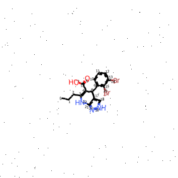 CCCC1=C(C(=O)O)C(c2cccc(Br)c2Br)c2c[nH]nc2N1